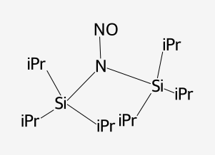 CC(C)[Si](C(C)C)(C(C)C)N(N=O)[Si](C(C)C)(C(C)C)C(C)C